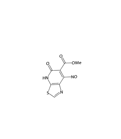 COC(=O)c1c(N=O)c2ncsc2[nH]c1=O